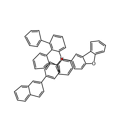 c1ccc(-c2ccccc2-c2c(-c3ccccc3)cccc2N(c2ccc(-c3ccc4ccccc4c3)cc2)c2ccc3oc4ccccc4c3c2)cc1